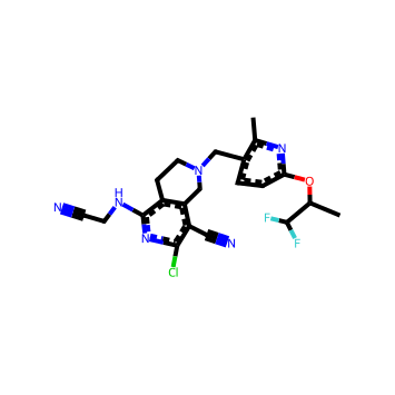 Cc1nc(OC(C)C(F)F)ccc1CN1CCc2c(NCC#N)nc(Cl)c(C#N)c2C1